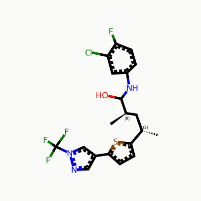 C[C@H](C[C@H](C)c1ccc(-c2cnn(C(F)(F)F)c2)s1)C(O)Nc1ccc(F)c(Cl)c1